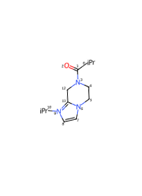 CC(C)C(=O)N1CCn2cc[n+](C(C)C)c2C1